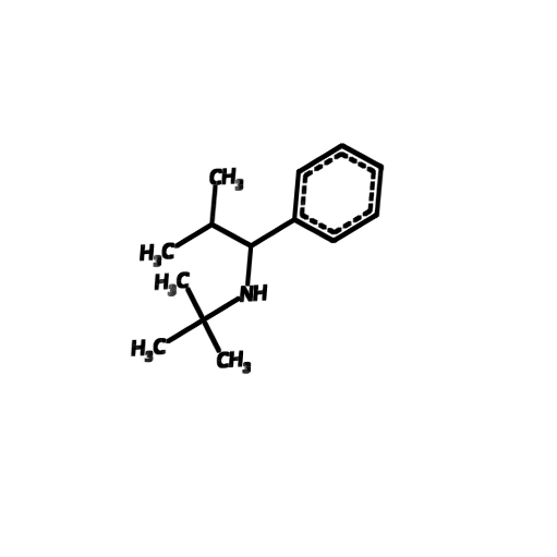 CC(C)C(NC(C)(C)C)c1ccccc1